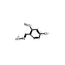 CSc1cc(Cl)ccc1C=NO